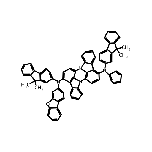 CC1(C)c2ccccc2-c2ccc(N(c3ccccc3)c3ccc4c5c3c3ccccc3n5c3ccc(N(c5ccc6c(c5)C(C)(C)c5ccccc5-6)c5ccc6c(c5)oc5ccccc56)c5c6ccccc6n4c53)cc21